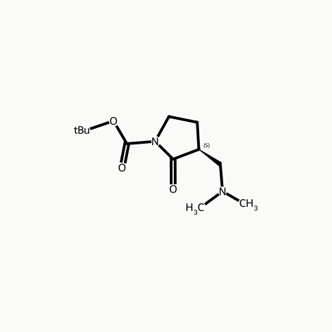 CN(C)C[C@@H]1CCN(C(=O)OC(C)(C)C)C1=O